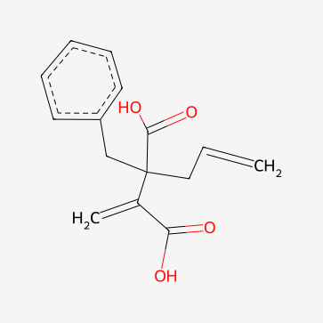 C=CCC(Cc1ccccc1)(C(=C)C(=O)O)C(=O)O